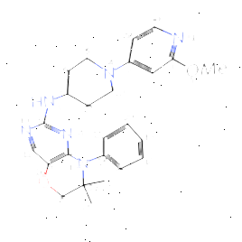 COc1cc(N2CCC(Nc3ncc4c(n3)N(c3ccccc3)C(C)(C)CO4)CC2)ccn1